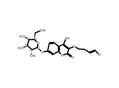 CC/C=C/CCOc1c(O)c2ccc(O[C@@H]3O[C@H](COC(C)=O)[C@H](OC(C)=O)[C@H](OC(C)=O)[C@H]3OC(C)=O)cc2oc1=O